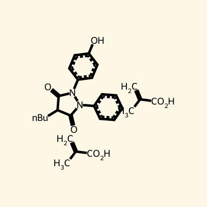 C=C(C)C(=O)O.C=C(C)C(=O)O.CCCCC1C(=O)N(c2ccccc2)N(c2ccc(O)cc2)C1=O